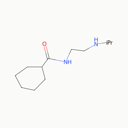 CC(C)NCCNC(=O)C1CCCCC1